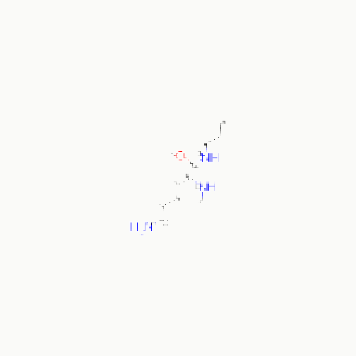 CCCNC(=O)C(CCCCN)NC